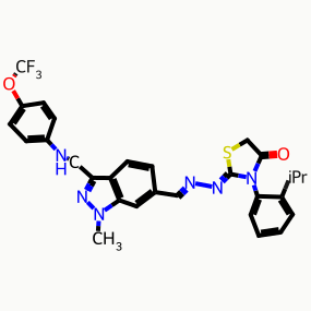 CC(C)c1ccccc1N1C(=O)CS/C1=N\N=C\c1ccc2c(CNc3ccc(OC(F)(F)F)cc3)nn(C)c2c1